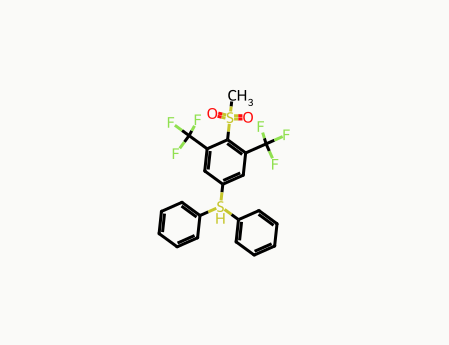 CS(=O)(=O)c1c(C(F)(F)F)cc([SH](c2ccccc2)c2ccccc2)cc1C(F)(F)F